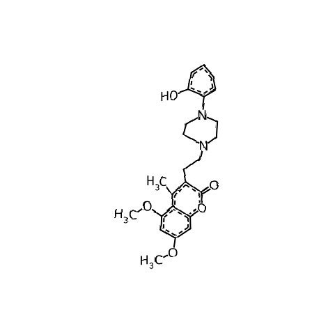 COc1cc(OC)c2c(C)c(CCN3CCN(c4ccccc4O)CC3)c(=O)oc2c1